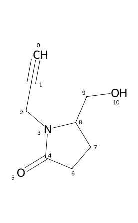 C#CCN1C(=O)CCC1CO